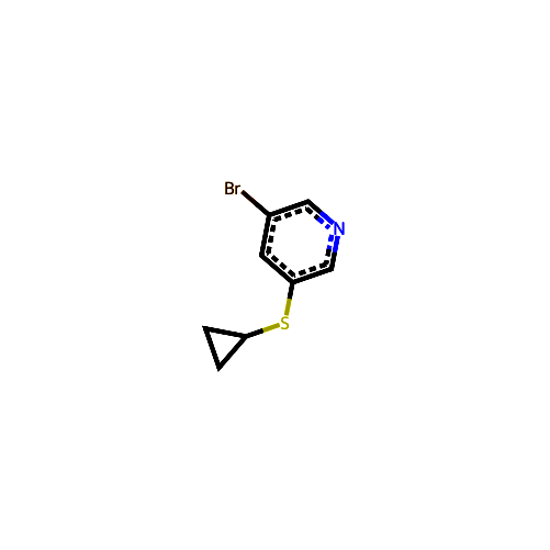 Brc1cncc(SC2CC2)c1